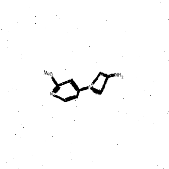 COc1cc(N2CC(N)C2)ccn1